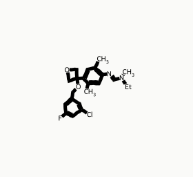 CCN(C)C=Nc1cc(C)c(C2(OCc3cc(F)cc(Cl)c3)COC2)cc1C